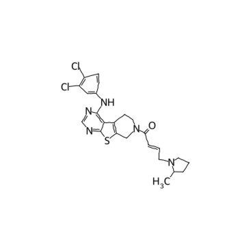 CC1CCCN1C/C=C/C(=O)N1CCc2c(sc3ncnc(Nc4ccc(Cl)c(Cl)c4)c23)C1